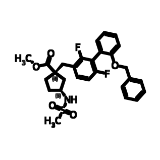 COC(=O)[C@@]1(Cc2ccc(F)c(-c3ccccc3OCc3ccccc3)c2F)CC[C@H](NS(C)(=O)=O)C1